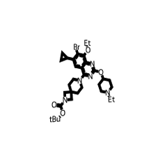 CCOc1c(Br)c(C2CC2)cc2c(N3CCC4(CC3)CN(C(=O)OC(C)(C)C)C4)nc(OC3CCN(CC)CC3)nc12